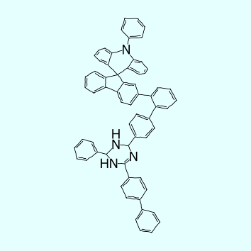 c1ccc(-c2ccc(C3=NC(c4ccc(-c5ccccc5-c5ccc6c(c5)C5(c7ccccc7-6)c6ccccc6N(c6ccccc6)c6ccccc65)cc4)NC(c4ccccc4)N3)cc2)cc1